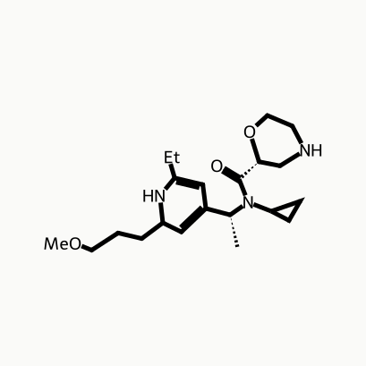 CCC1=CC([C@@H](C)N(C(=O)[C@H]2CNCCO2)C2CC2)=CC(CCCOC)N1